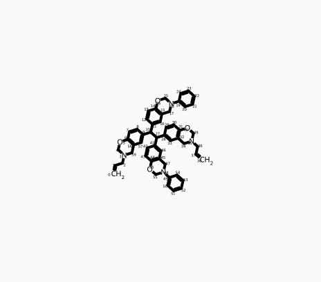 C=CCN1COc2ccc(C(c3ccc4c(c3)CN(c3ccccc3)CO4)C(c3ccc4c(c3)CN(CC=C)CO4)c3ccc4c(c3)CN(c3ccccc3)CO4)cc2C1